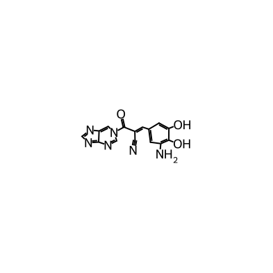 N#C/C(=C\c1cc(N)c(O)c(O)c1)C(=O)n1cnc2ncnc-2c1